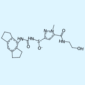 Cn1nc([S+]([O-])NC(=O)Nc2c3c(cc4c2CCC4)CCC3)cc1C(=O)NCCO